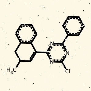 CC1C=C(c2nc(Cl)nc(-c3ccccc3)n2)c2ccccc2C1